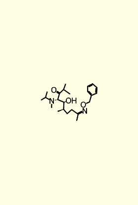 CC(CC[C@@H](C)[C@@H](O)[C@@H](C(=O)C(C)C)N(C)C(C)C)=NOCc1ccccc1